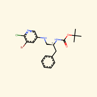 CC(C)(C)OC(=O)N[C@H](CNc1cnc(Cl)c(Br)c1)Cc1ccccc1